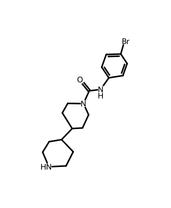 O=C(Nc1ccc(Br)cc1)N1CCC(C2CCNCC2)CC1